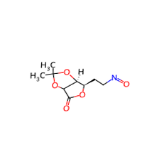 CC1(C)OC2C(=O)O[C@H](CCN=O)[C@@H]2O1